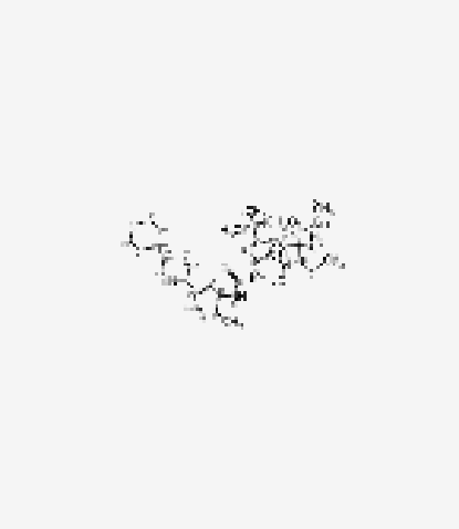 CCN(C(=O)c1sc(C(C)(C)C)cc1NC(=O)Nc1cc(-c2ccc(N3CCOCC3)cn2)ccc1C)C(C)(C)C(=O)NC